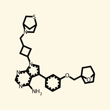 Nc1ncnc2c1c(-c1cccc(OCC34CCC(CC3)O4)c1)cn2C1CC(CN2CC3CC2CS3)C1